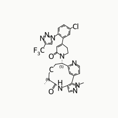 C[C@@H]1CCC[C@H](N2CCC(c3cc(Cl)ccc3-n3cc(C(F)(F)F)nn3)=CC2=O)c2cc(ccn2)-c2c(cnn2C)NC1=O